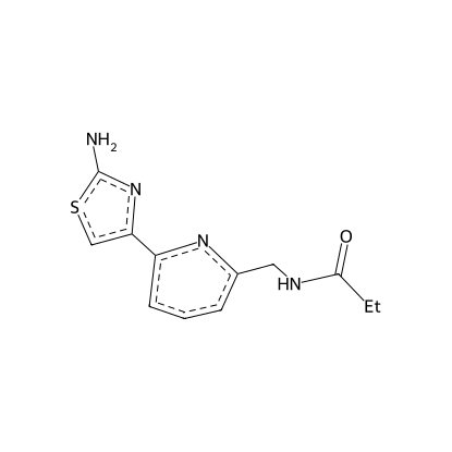 CCC(=O)NCc1cccc(-c2csc(N)n2)n1